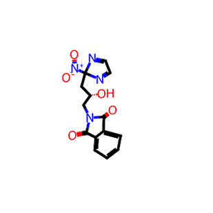 O=C1c2ccccc2C(=O)N1C[C@@H](O)CC1([N+](=O)[O-])N=CC=N1